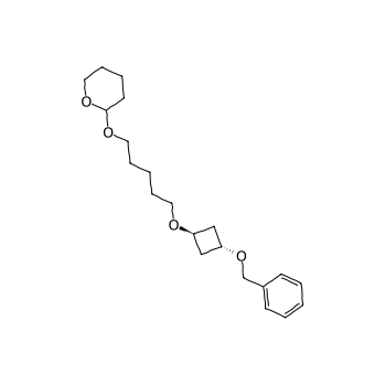 c1ccc(CO[C@H]2C[C@H](OCCCCCOC3CCCCO3)C2)cc1